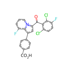 O=C(O)c1ccc(-c2cc(C(=O)c3c(Cl)ccc(F)c3Cl)n3cccc(F)c23)cc1